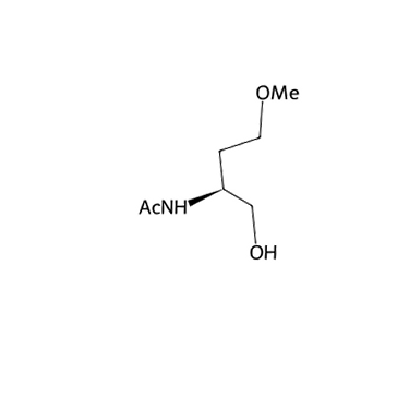 COCC[C@@H](CO)NC(C)=O